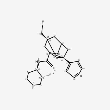 O=C(N[C@@H]1CCNC[C@H]1F)C12CC3C[C@@](CF)(C1)C[C@](c1ccccc1)(C3)C2